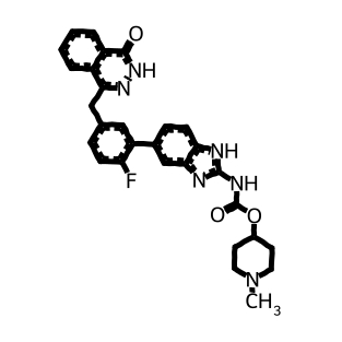 CN1CCC(OC(=O)Nc2nc3cc(-c4cc(Cc5n[nH]c(=O)c6ccccc56)ccc4F)ccc3[nH]2)CC1